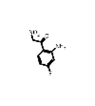 Nc1cc(F)ccc1C(=O)C[N+](=O)[O-]